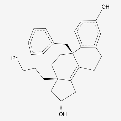 CC(C)CCC[C@@]12CC[C@@]3(Cc4ccccc4)C(=C1C[C@H](O)C2)CCc1cc(O)ccc13